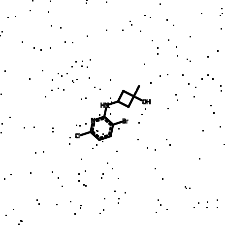 CC1(O)CC(Nc2nc(Cl)ccc2Br)C1